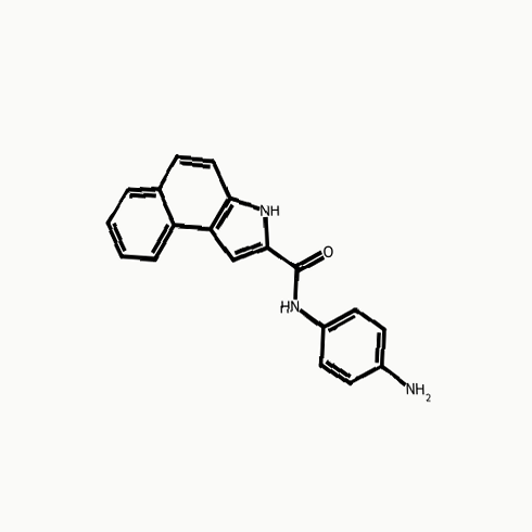 Nc1ccc(NC(=O)c2cc3c(ccc4ccccc43)[nH]2)cc1